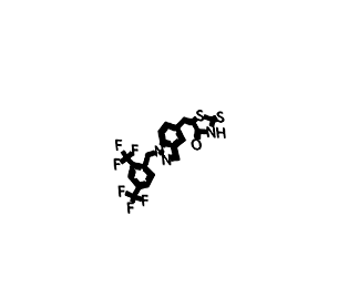 O=C1NC(=S)SC1=Cc1ccc2c(cnn2Cc2ccc(C(F)(F)F)cc2C(F)(F)F)c1